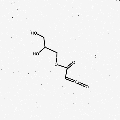 O=C=CC(=O)OCC(O)CO